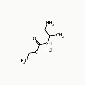 CC(CN)NC(=O)OCC(F)(F)F.Cl